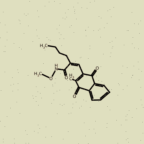 CCCC/C(=C/C1=C(C)C(=O)c2ccccc2C1=O)C(=O)NOC